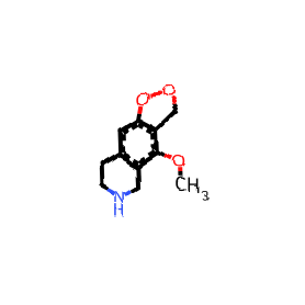 COc1c2c(cc3c1COO3)CCNC2